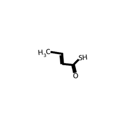 C/C=C/C(=O)S